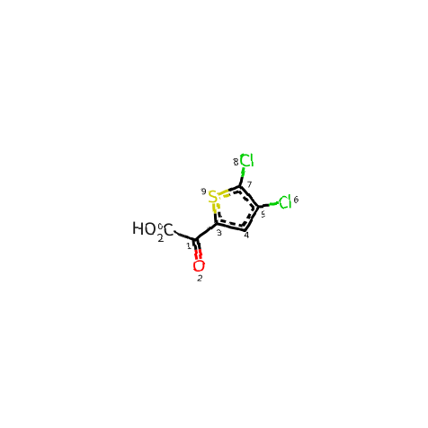 O=C(O)C(=O)c1cc(Cl)c(Cl)s1